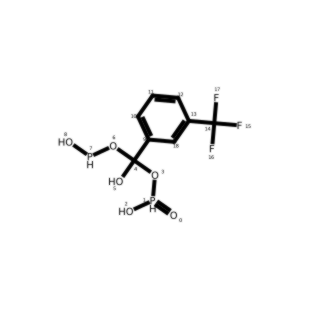 O=[PH](O)OC(O)(OPO)c1cccc(C(F)(F)F)c1